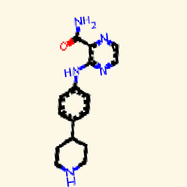 NC(=O)c1nccnc1Nc1ccc(C2CCNCC2)cc1